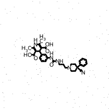 CC1=C(C(=O)O)C(c2cccc(NC(=O)NCCCN3CCC(C#N)(c4ccccc4)CC3)c2)C(C(=O)O)=C(C)N1